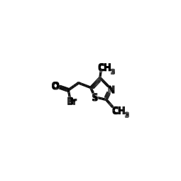 Cc1nc(C)c(CC(=O)Br)s1